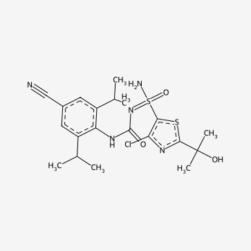 CC(C)c1cc(C#N)cc(C(C)C)c1NC(=O)N=S(N)(=O)c1sc(C(C)(C)O)nc1Cl